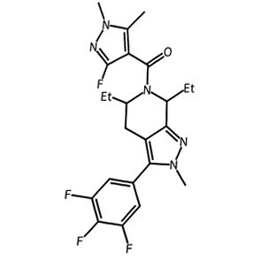 CCC1Cc2c(nn(C)c2-c2cc(F)c(F)c(F)c2)C(CC)N1C(=O)c1c(F)nn(C)c1C